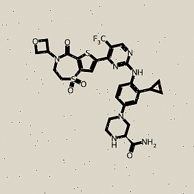 NC(=O)[C@@H]1CN(c2ccc(Nc3ncc(C(F)(F)F)c(-c4cc5c(s4)C(=O)N(C4COC4)CCS5(=O)=O)n3)c(C3CC3)c2)CCN1